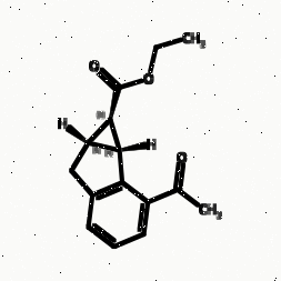 CCOC(=O)[C@@H]1[C@H]2Cc3cccc(C(C)=O)c3[C@H]21